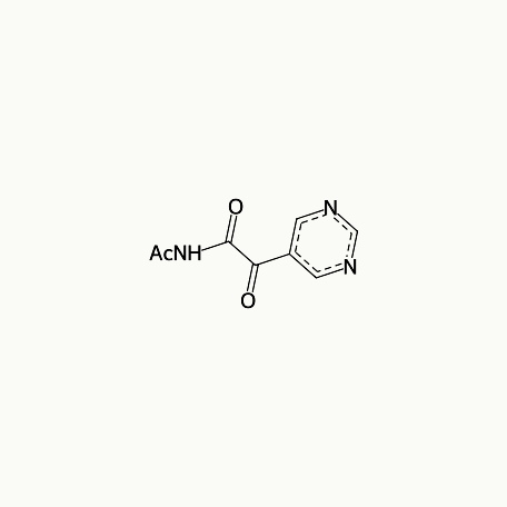 CC(=O)NC(=O)C(=O)c1cncnc1